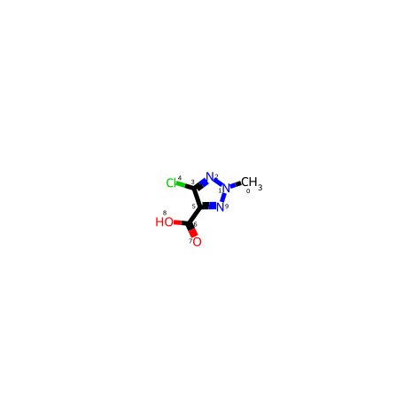 Cn1nc(Cl)c(C(=O)O)n1